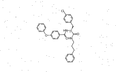 O=C(N[C@@H](Cc1ccc(Cl)cc1)C(=O)NCCCc1ccccc1)c1ccc(Oc2ccccc2)cc1